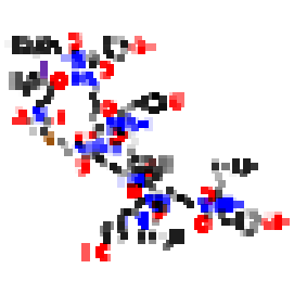 O=C(O)CCC(=O)N[C@@H](Cc1ccc(O)cc1)C(=O)NCCCC[C@H](NC(=O)[C@H](Cc1ccc(O)cc1)NC(=O)CCC(=O)O)C(=O)NCCCC[C@H](NC(=O)[C@H](CCCCNC(=O)[C@H](Cc1ccc(O)cc1)NC(=O)CCC(=O)O)NC(=O)[C@H](Cc1ccc(O)cc1)NC(=O)CCC(=O)O)C(=O)NCCSC1CC(=O)N(CCC(=O)[SiH2]I)C1=O